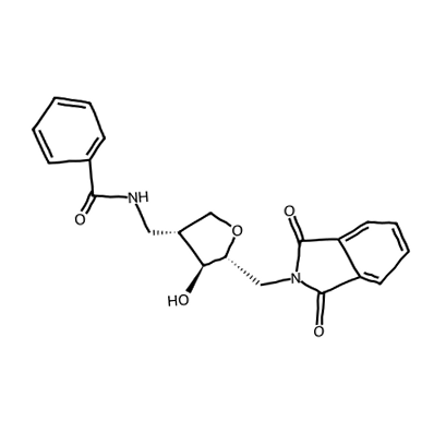 O=C(NC[C@@H]1CO[C@H](CN2C(=O)c3ccccc3C2=O)[C@H]1O)c1ccccc1